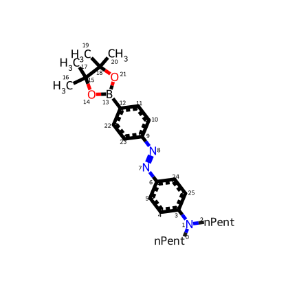 CCCCCN(CCCCC)c1ccc(N=Nc2ccc(B3OC(C)(C)C(C)(C)O3)cc2)cc1